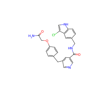 NC(=O)COc1ccc(Cc2cncc(C(=O)NCc3ccc4[nH]cc(Cl)c4c3)c2)cc1